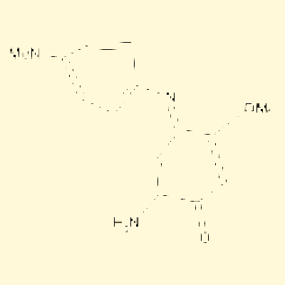 CNc1ccc(N=C2C=C(N)C(=O)C=C2OC)cc1